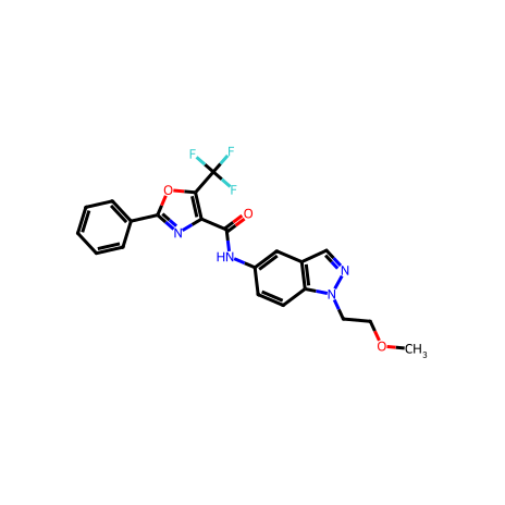 COCCn1ncc2cc(NC(=O)c3nc(-c4ccccc4)oc3C(F)(F)F)ccc21